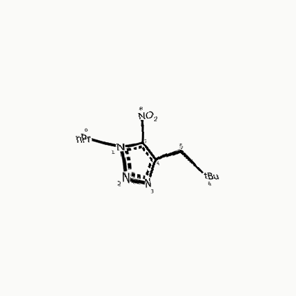 CCCn1nnc(CC(C)(C)C)c1[N+](=O)[O-]